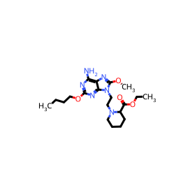 CCCCOc1nc(N)c2nc(OC)n(CCN3CCCCC3C(=O)OCC)c2n1